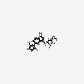 CO[C@@H]1C[C@@H](Cc2c[nH]c3ccc(-n4c(C)ccc4C)cc23)N(C)C1